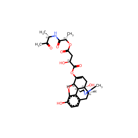 CC(=O)[C@H](C)NC(=O)[C@H](C)OC(=O)C[C@H](O)C(=O)OC1=CC[C@@]2(O)[C@H]3Cc4ccc(O)c5c4[C@@]2(CCN3C)[C@H]1O5